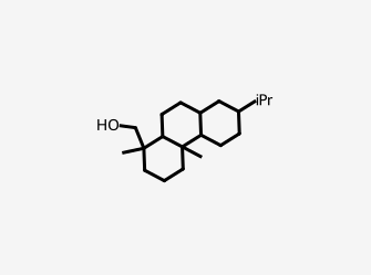 CC(C)C1CCC2C(CCC3C(C)(CO)CCCC23C)C1